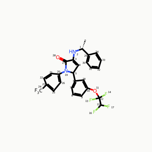 C[C@@H](NC1=CC(c2cccc(OC(F)(F)C(F)F)c2)N(c2ccc(C(F)(F)F)cc2)C1=O)c1ccccc1